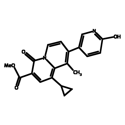 COC(=O)c1cc(C2CC2)c2c(C)c(-c3ccc(O)nc3)ccn2c1=O